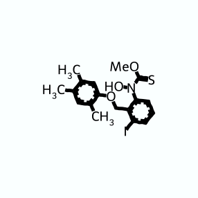 COC(=S)N(O)c1cccc(I)c1COc1cc(C)c(C)cc1C